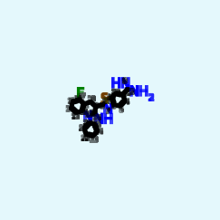 N=C(N)c1ccc2nc(C(Cc3ccccc3F)c3nc4ccccc4[nH]3)sc2c1